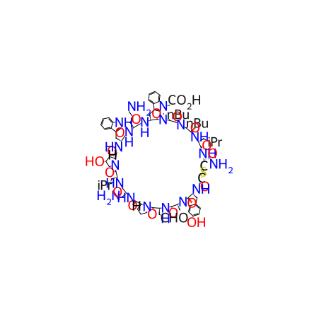 CCCC[C@H]1C(=O)N(C)[C@@H](CCCC)C(=O)N[C@@H](CC(C)C)C(=O)N[C@H](C(N)=O)CSCC(=O)N[C@@H](Cc2ccc(O)cc2)C(=O)N(C)[C@@H](C)C(=O)N[C@@H](CC=O)C(=O)N2CCC[C@H]2C(=O)N[C@@H](CN)C(=O)N[C@@H](CC(C)C)C(=O)N2C[C@H](O)C[C@H]2C(=O)N[C@@H](Cc2c[nH]c3ccccc23)C(=O)N[C@@H](CCCN)C(=O)N[C@@H](Cc2cn(CC(=O)O)c3ccccc23)C(=O)N1C